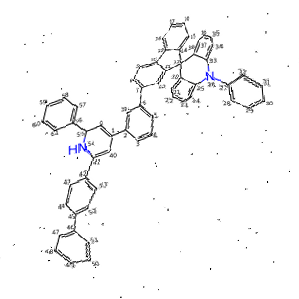 C1=C(c2cccc(-c3ccc4c(c3)C3(c5ccccc5-4)c4ccccc4N(c4ccccc4)c4ccccc43)c2)C=C(c2ccc(-c3ccccc3)cc2)NC1c1ccccc1